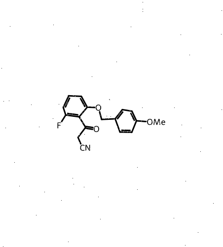 COc1ccc(COc2cccc(F)c2C(=O)CC#N)cc1